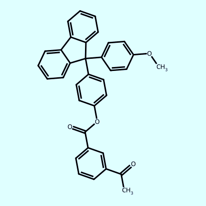 COc1ccc(C2(c3ccc(OC(=O)c4cccc(C(C)=O)c4)cc3)c3ccccc3-c3ccccc32)cc1